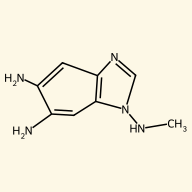 CNn1cnc2cc(N)c(N)cc21